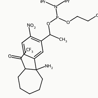 CC(OP(OCCC#N)N(C(C)C)C(C)C)c1cc(C2(N)CCCCCC2C(=O)C(F)(F)F)ccc1[N+](=O)[O-]